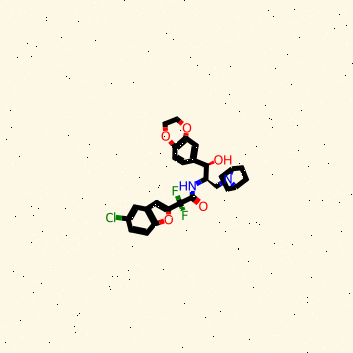 O=C(N[C@H](CN1C2CCC1CC2)[C@H](O)c1ccc2c(c1)OCCO2)C(F)(F)c1cc2cc(Cl)ccc2o1